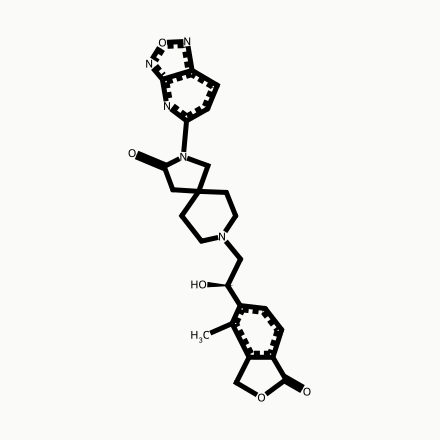 Cc1c([C@@H](O)CN2CCC3(CC2)CC(=O)N(c2ccc4nonc4n2)C3)ccc2c1COC2=O